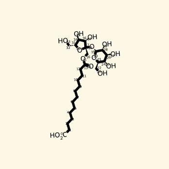 O=C(O)CCCCCCCCCCCCC(=O)OC[C@@]1(O[C@H]2O[C@H](CO)[C@@H](O)[C@H](O)[C@H]2O)O[C@H](CO)[C@@H](O)[C@@H]1O